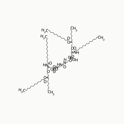 CCCCCCCCCCCCCC(=O)N[C@H](COCC[C@@H](CCCCCCC)OC(=O)CCCCCCCCCCC)COP(=O)(O)OCCNC(=O)NCCOP(=O)(O)OC[C@@H](COCC[C@@H](CCCCCCC)OC(=O)CCCCCCCCCCC)NC(=O)CCCCCCCCCCCCC